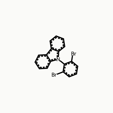 Brc1cccc(Br)c1-n1c2ccccc2c2ccccc21